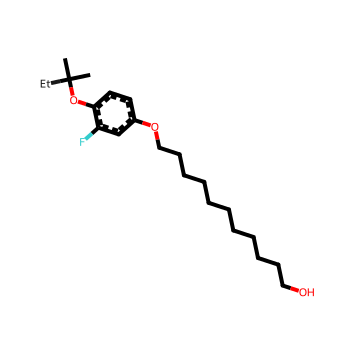 CCC(C)(C)Oc1ccc(OCCCCCCCCCCCO)cc1F